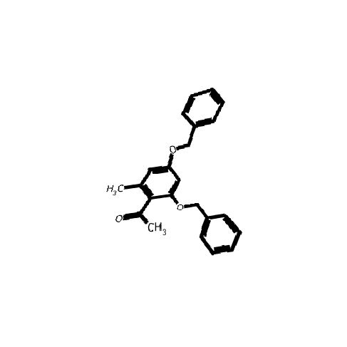 CC(=O)c1c(C)cc(OCc2ccccc2)cc1OCc1ccccc1